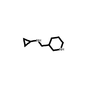 C1CNCC(CNC2CC2)C1